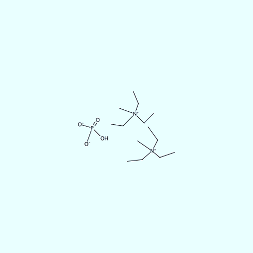 CC[N+](C)(CC)CC.CC[N+](C)(CC)CC.O=P([O-])([O-])O